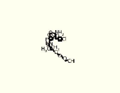 C#CCOCCOCCOCCCC(C)(C)c1nc(-c2cc3c(cc2F)S(=O)(=O)C[C@H](N)C(=O)N3Cc2ccc(Cl)cc2)no1